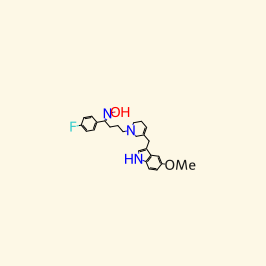 COc1ccc2[nH]cc(CC3=CCCN(CCCC(=NO)c4ccc(F)cc4)C3)c2c1